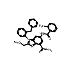 COCc1nc2c(C(N)=O)cc(NC(=O)c3ccccc3C(F)(F)F)cc2n1-c1ccccc1Cc1ccccc1